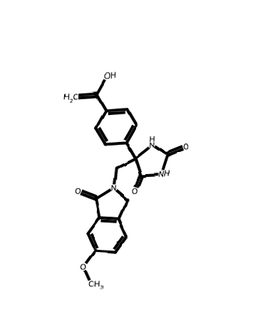 C=C(O)c1ccc(C2(CN3Cc4ccc(OC)cc4C3=O)NC(=O)NC2=O)cc1